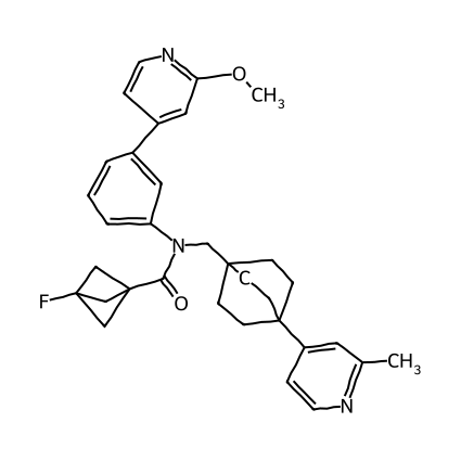 COc1cc(-c2cccc(N(CC34CCC(c5ccnc(C)c5)(CC3)CC4)C(=O)C34CC(F)(C3)C4)c2)ccn1